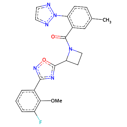 COc1c(F)cccc1-c1noc(C2CCN2C(=O)c2cc(C)ccc2-n2nccn2)n1